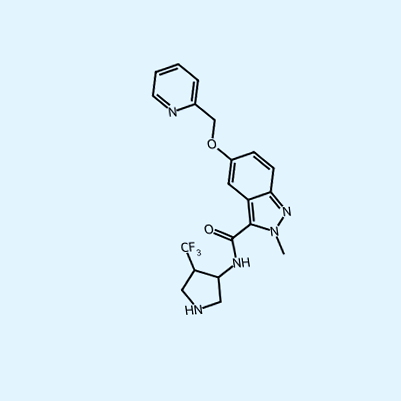 Cn1nc2ccc(OCc3ccccn3)cc2c1C(=O)NC1CNCC1C(F)(F)F